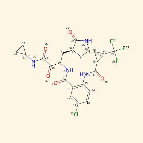 C[C@@H]1C[C@@H](CC(NC(=O)c2cc(Cl)ccc2NC(=O)C2CC2C(F)(F)F)C(=O)C(=O)NC2CC2)C(=O)N1